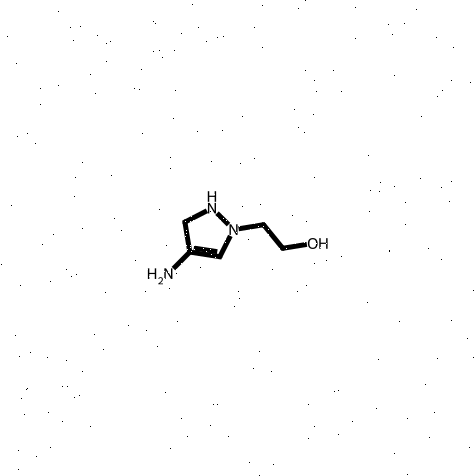 NC1=CN(CCO)NC1